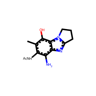 CC(=O)Nc1c(C)c(O)c2c(nc3n2CCC3)c1N